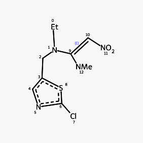 CCN(Cc1cnc(Cl)s1)/C(=C/[N+](=O)[O-])NC